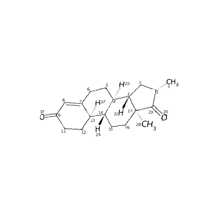 C[C@H]1C[C@H]2[C@@H]3CCC4=CC(=O)CC[C@@H]4[C@H]3CC[C@]2(C)C1=O